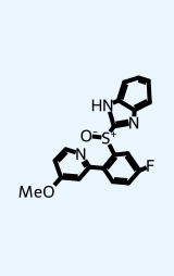 COc1ccnc(-c2ccc(F)cc2[S+]([O-])c2nc3ccccc3[nH]2)c1